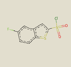 O=S(=O)(Cl)c1cc2cc(F)ccc2s1